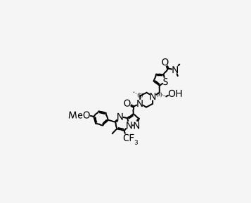 COc1ccc(-c2nc3c(C(=O)N4CCN([C@@H](CO)c5ccc(C(=O)N(C)C)s5)C[C@H]4C)cnn3c(C(F)(F)F)c2C)cc1